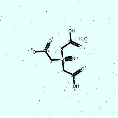 O.[N]#[Cr]([CH2]C(=O)O)([CH2]C(=O)O)[CH2]C(=O)O